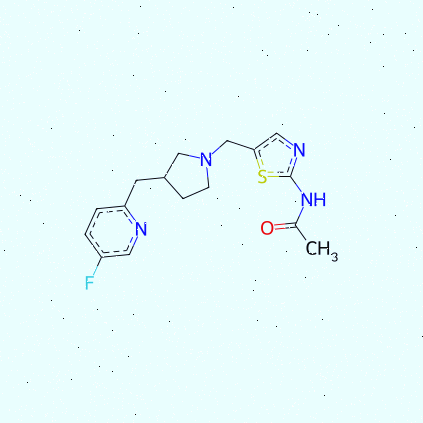 CC(=O)Nc1ncc(CN2CCC(Cc3ccc(F)cn3)C2)s1